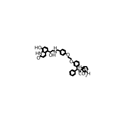 O=C(O)N([C@@H](c1ccccc1)c1cccc(OCCOc2ccc(CNC[C@H](O)c3ccc(O)c4[nH]c(=O)ccc34)cc2)c1)[C@H]1CN2CCC1CC2